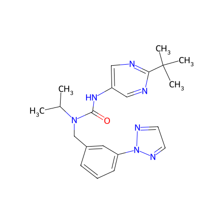 CC(C)N(Cc1cccc(-n2nccn2)c1)C(=O)Nc1cnc(C(C)(C)C)nc1